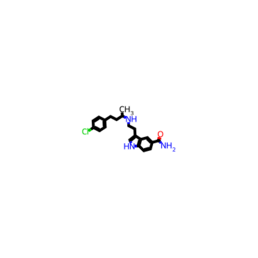 CC(CCc1ccc(Cl)cc1)NCCc1c[nH]c2ccc(C(N)=O)cc12